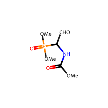 COC(=O)NC(C=O)P(=O)(OC)OC